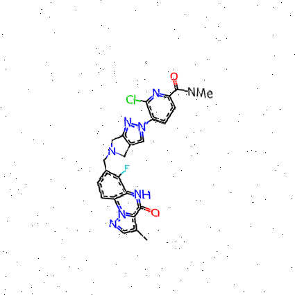 CNC(=O)c1ccc(-n2cc3c(n2)CN(Cc2ccc4c([nH]c(=O)c5c(C)cnn54)c2F)C3)c(Cl)n1